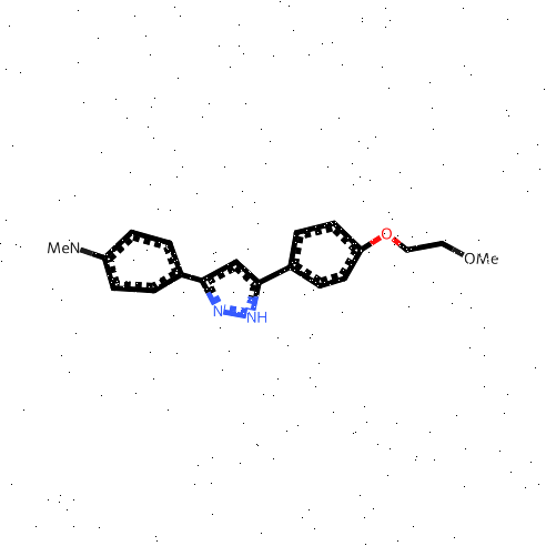 CNc1ccc(-c2cc(-c3ccc(OCCOC)cc3)[nH]n2)cc1